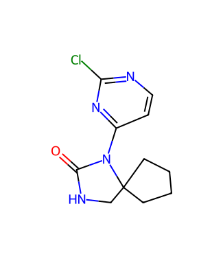 O=C1NCC2(CCCC2)N1c1ccnc(Cl)n1